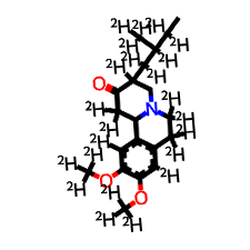 [2H]c1c(OC([2H])([2H])[2H])c(OC([2H])([2H])[2H])c([2H])c2c1C1N(CC([2H])(C([2H])([2H])C([2H])(C([2H])([2H])[2H])C([2H])([2H])C)C(=O)C1([2H])[2H])C([2H])([2H])C2([2H])[2H]